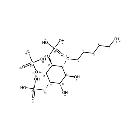 CCCCCCO[C@@H]1[C@@H](O)[C@H](O)[C@H](OP(=O)(O)O)[C@H](OP(=O)(O)O)[C@H]1OP(=O)(O)O